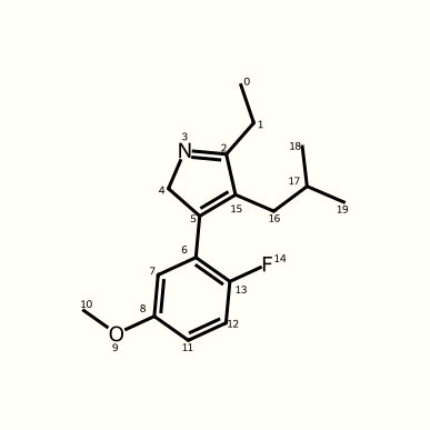 CCC1=NCC(c2cc(OC)ccc2F)=C1CC(C)C